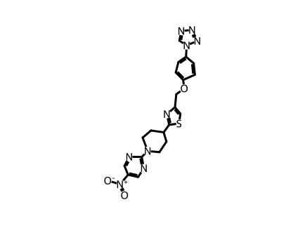 O=[N+]([O-])c1cnc(N2CCC(c3nc(COc4ccc(-n5cnnn5)cc4)cs3)CC2)nc1